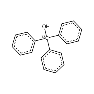 O[13C](c1ccccc1)(c1ccccc1)c1ccccc1